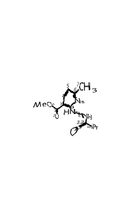 COC(=O)c1ccc(C)nc1NNC(=O)C(C)C